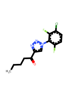 CCCCC(=O)c1cn(-c2c(F)ccc(Cl)c2F)nn1